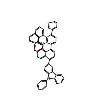 c1ccc(-c2ccccc2-c2c(-c3ccccc3)ccc3c2N(c2ccccc2)c2cccc4c(-c5ccc6c(c5)c5ccccc5n6-c5ccccc5)ccc-3c24)cc1